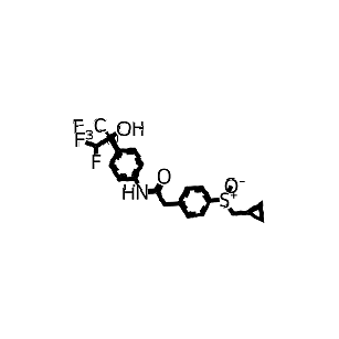 O=C(Cc1ccc([S+]([O-])CC2CC2)cc1)Nc1ccc([C@@](O)(C(F)F)C(F)(F)F)cc1